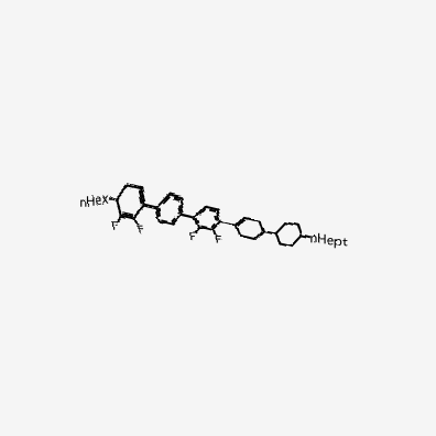 CCCCCCCC1CCC(C2CC=C(c3ccc(-c4ccc(C5=CC[C@H](CCCCCC)C(F)=C5F)cc4)c(F)c3F)CC2)CC1